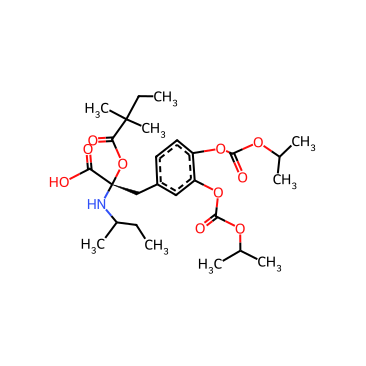 CCC(C)N[C@@](Cc1ccc(OC(=O)OC(C)C)c(OC(=O)OC(C)C)c1)(OC(=O)C(C)(C)CC)C(=O)O